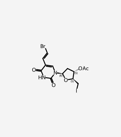 CC(=O)O[C@H]1C[C@H](n2cc(C=CBr)c(=O)[nH]c2=O)O[C@@H]1CI